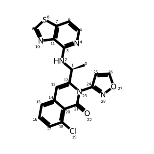 C[C@H](Nc1nccc2scnc12)c1cc2cccc(Cl)c2c(=O)n1-c1ccon1